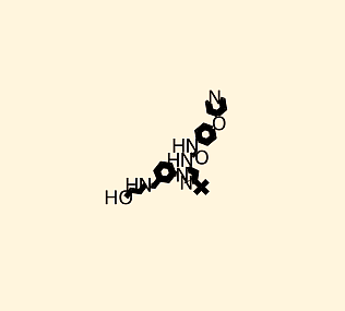 CC(C)(C)c1cc(NC(=O)Nc2ccc(Oc3ccncc3)cc2)n(-c2cccc(CNCCO)c2)n1